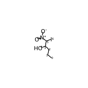 CCCC(O)C(I)[N+](=O)[O-]